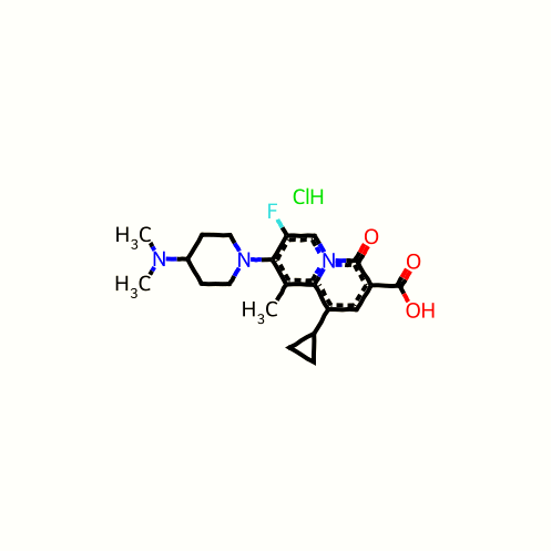 Cc1c(N2CCC(N(C)C)CC2)c(F)cn2c(=O)c(C(=O)O)cc(C3CC3)c12.Cl